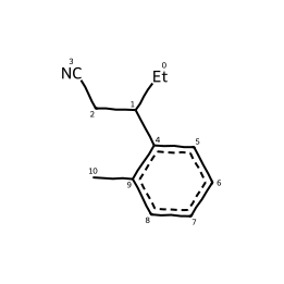 CCC(CC#N)c1ccccc1C